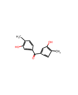 Cc1ccc(C(=O)c2ccc(C)c(O)c2)cc1O